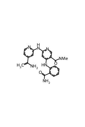 C=C(N)c1ccnc(Nc2cc(Nc3ccccc3C(N)=O)c(C(=O)NC)cn2)c1